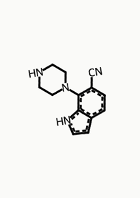 N#Cc1ccc2cc[nH]c2c1N1CCNCC1